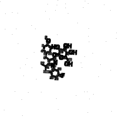 COc1ccc(Cc2c(O[C@@H]3O[C@H](CO)[C@@H](O)[C@H](O)[C@H]3O)nn(-c3cccc(F)c3)c2C(C)C)cc1